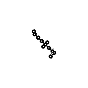 c1ccc(-c2cccc3nc(-c4ccc(-c5c6ccccc6c(-c6ccc(-c7ccc(-c8ccc9ccccc9c8)cc7)cc6)c6ccccc56)cc4)cn23)cc1